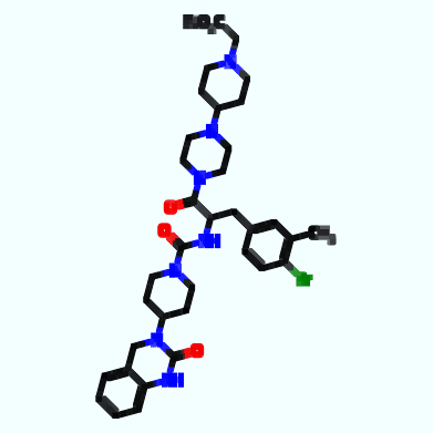 CCOC(=O)CN1CCC(N2CCN(C(=O)C(Cc3ccc(Br)c(C)c3)NC(=O)N3CCC(N4Cc5ccccc5NC4=O)CC3)CC2)CC1